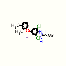 CSC(=N)Nc1c(Cl)cc(Oc2cccc(C)c2C)cc1Cl.I